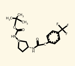 CC(C)(C)OC(=O)NN1CC[C@@H](NC(=O)Cc2ccc(C(F)(F)F)cc2)C1